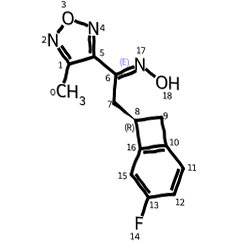 Cc1nonc1/C(C[C@H]1Cc2ccc(F)cc21)=N/O